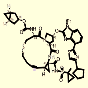 CC(C)n1c(O[C@@H]2C[C@H]3C(=O)N[C@]4(C(=O)NS(=O)(=O)C5(C)CC5)C[C@H]4/C=C\CCCCC[C@H](NC(=O)O[C@@H]4C[C@@H]5C[C@@H]5C4)C(=O)N3C2)nc2c(-c3nc(C4CCCC4)cs3)cccc21